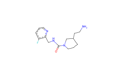 NCCC1CCCN(C(=O)NCc2ncccc2F)C1